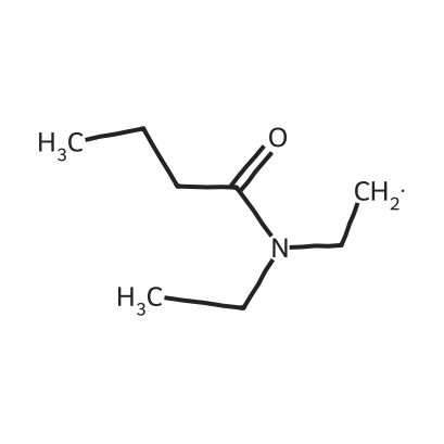 [CH2]CN(CC)C(=O)CCC